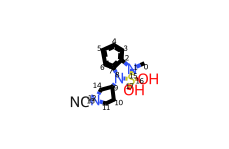 CN1c2ccccc2N(C2CCN(C#N)C2)S1(O)O